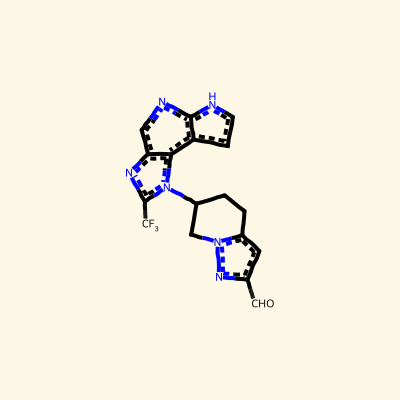 O=Cc1cc2n(n1)CC(n1c(C(F)(F)F)nc3cnc4[nH]ccc4c31)CC2